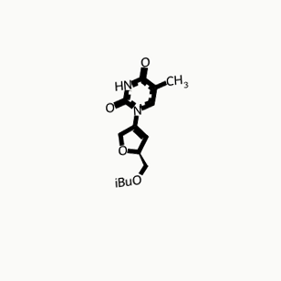 Cc1cn(C2=C[C@@H](COCC(C)C)OC2)c(=O)[nH]c1=O